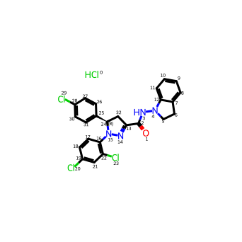 Cl.O=C(NN1CCc2ccccc21)C1=NN(c2ccc(Cl)cc2Cl)[C@@H](c2ccc(Cl)cc2)C1